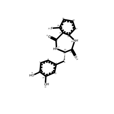 O=C1N[C@@H](Cc2ccc(O)c(O)c2)C(=O)Nc2cccc(F)c21